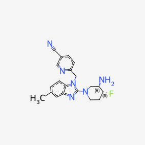 Cc1ccc2c(c1)nc(N1CC[C@@H](F)[C@H](N)C1)n2Cc1ccc(C#N)cn1